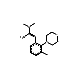 Cc1cccc(/N=C(\N)N(C)C)c1N1CCOCC1